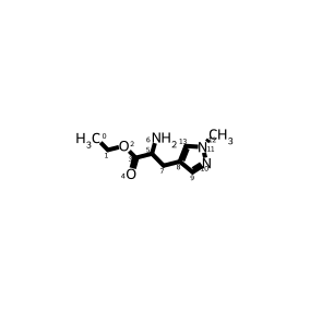 CCOC(=O)C(N)Cc1cnn(C)c1